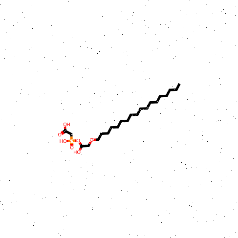 CCCCCCCCCCCCCCCCCCOCC(O)OP(=O)(O)CC(=O)O